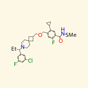 CCC(c1cc(F)cc(Cl)c1)N1CCC2(CC1)CC(COCc1cc(F)c(C(=O)NSC)cc1C1CC1)C2